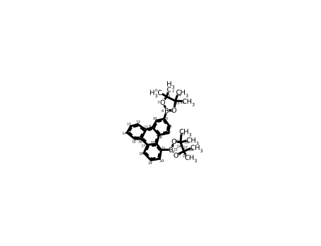 CC1(C)OB(c2ccc3c(c2)c2ccccc2c2cccc(B4OC(C)(C)C(C)(C)O4)c23)OC1(C)C